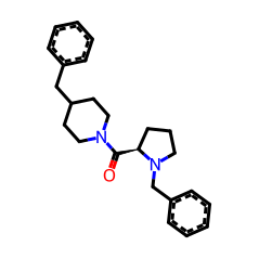 O=C([C@H]1CCCN1Cc1ccccc1)N1CCC(Cc2ccccc2)CC1